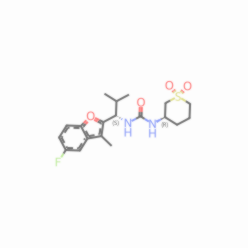 Cc1c([C@@H](NC(=O)N[C@@H]2CCCS(=O)(=O)C2)C(C)C)oc2ccc(F)cc12